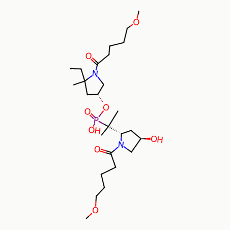 CCC1(C)C[C@@H](OP(=O)(O)C(C)(C)[C@@H]2C[C@@H](O)CN2C(=O)CCCCOC)CN1C(=O)CCCCOC